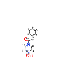 O=C(Cc1ccccc1)N1CCN(O)CC1